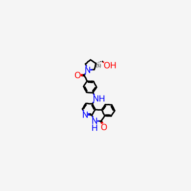 O=C(c1ccc(Nc2ccnc3[nH]c(=O)c4ccccc4c23)cc1)N1CC[C@H](CO)C1